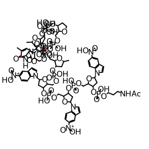 CC(=O)NCCCOP(=O)(O)OC1CC(n2ccc3cc([N+](=O)O)ccc32)OC1COP(=O)(O)OC1CC(n2ccc3cc([N+](=O)O)ccc32)OC1COP(=O)(O)OC1CC(n2ccc3cc([N+](=O)O)ccc32)OC1COP(=O)(O)OC1CC(C)OC1COP(=O)(O)OC1CC(C)OC1COP(=O)(O)OC1CC(C)OC1COP(=O)(O)OC1CCOC1COP(=O)(O)OC1CC(n2cc(C)c(=O)[nH]c2=O)OC1COP(=O)(O)O